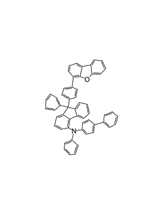 c1ccc(-c2ccc(N(c3ccccc3)c3cccc4c3-c3ccccc3C4(c3ccccc3)c3ccc(-c4cccc5c4oc4ccccc45)cc3)cc2)cc1